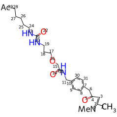 CN/C(C)=C\C(=O)Cc1ccc(CNC(=O)COCCCNC(=O)NCCCCCC(C)=O)cc1